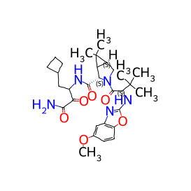 COc1ccc2oc(N[C@H](C(=O)N3C[C@H]4C([C@H]3C(=O)NC(CC3CCC3)C(=O)C(N)=O)C4(C)C)C(C)(C)C)nc2c1